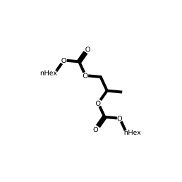 CCCCCCOC(=O)OCC(C)OC(=O)OCCCCCC